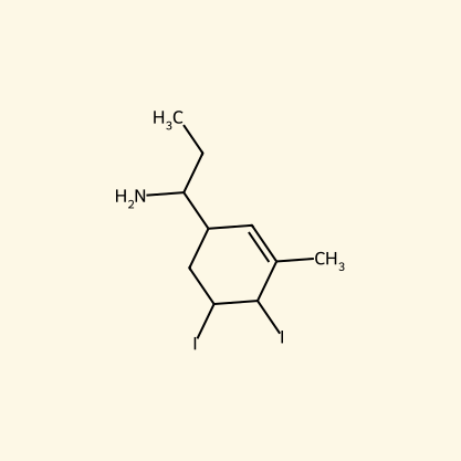 CCC(N)C1C=C(C)C(I)C(I)C1